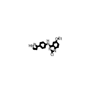 CCOc1ccc2nc(Cl)nc(Nc3ccc(-c4cc[nH]n4)cc3)c2c1